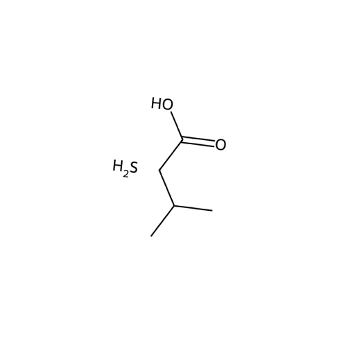 CC(C)CC(=O)O.S